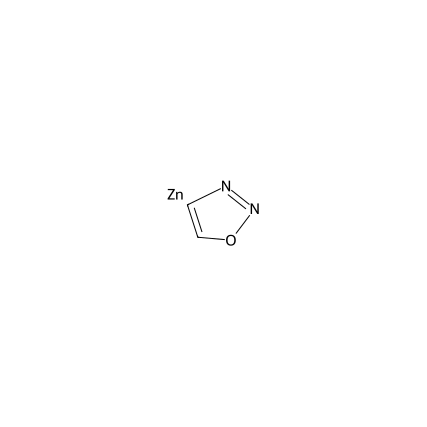 [Zn].c1conn1